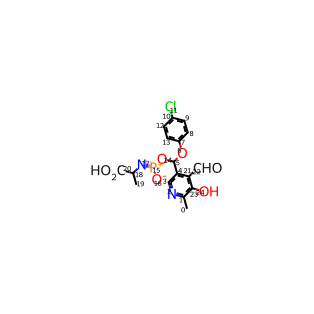 Cc1ncc(C(Oc2ccc(Cl)cc2)O/[P+]([O-])=N/C(C)C(=O)O)c(C=O)c1O